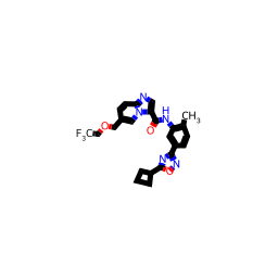 Cc1ccc(-c2noc(C3CCC3)n2)cc1NC(=O)c1cnc2ccc(COCC(F)(F)F)cn12